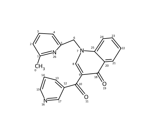 Cc1cccc(Cn2cc(C(=O)c3cccnc3)c(=O)c3ccccc32)n1